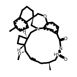 CO[C@H]1/C=C/C[C@H](C)C/[SH](=O)=N\C(=O)c2ccc3c(c2)N(C[C@@H]2CC[C@H]21)C[C@@]1(CCCc2cc(C)ccc21)CO3